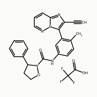 C#Cc1nc2cccnn2c1-c1cc(NC(=O)N2OCCC2c2ccccc2)ccc1C.O=C(O)C(F)(F)F